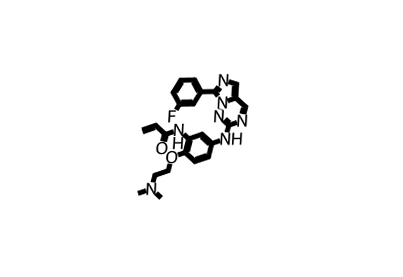 C=CC(=O)Nc1cc(Nc2ncc3cnc(-c4cccc(F)c4)n3n2)ccc1OCCN(C)C